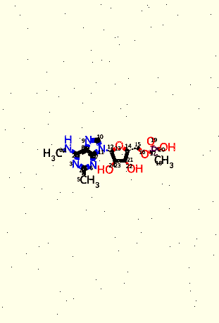 CNc1nc(C)nc2c1ncn2[C@@H]1O[C@H](COP(C)(=O)O)[C@@H](O)[C@H]1O